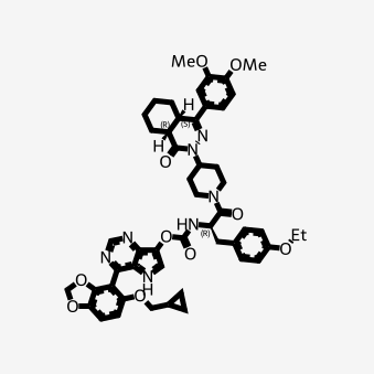 CCOc1ccc(C[C@@H](NC(=O)Oc2c[nH]c3c(-c4c(OCC5CC5)ccc5c4OCO5)ncnc23)C(=O)N2CCC(N3N=C(c4ccc(OC)c(OC)c4)[C@H]4CCCC[C@H]4C3=O)CC2)cc1